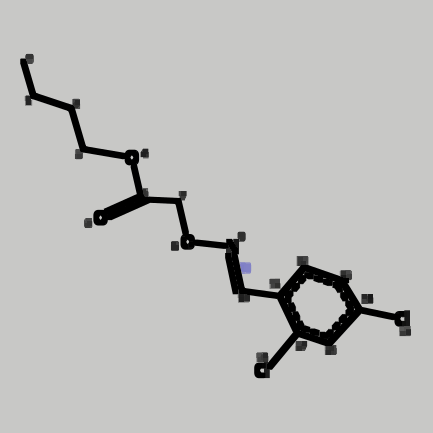 CCCCOC(=O)CO/N=C/c1c[c]c(Cl)cc1Cl